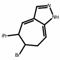 CC(C)C1C=c2cn[nH]c2=CCC1Br